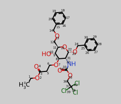 CCOC(=O)CCO[C@H]1[C@H](O)[C@@H](COCc2ccccc2)O[C@H](OCc2ccccc2)[C@@H]1NC(=O)OCC(Cl)(Cl)Cl